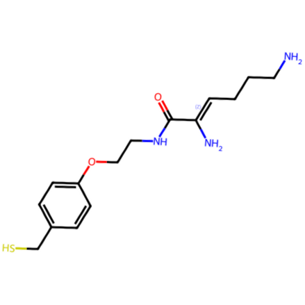 NCCC/C=C(\N)C(=O)NCCOc1ccc(CS)cc1